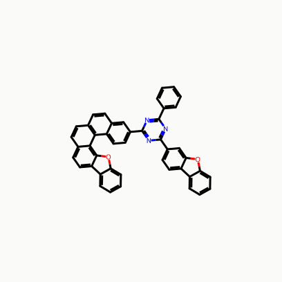 c1ccc(-c2nc(-c3ccc4c(ccc5ccc6ccc7c8ccccc8oc7c6c54)c3)nc(-c3ccc4c(c3)oc3ccccc34)n2)cc1